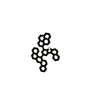 c1ccc2c(c1)ccc1c(-c3cc(-c4ccc5ccc6cccc7ccc4c5c67)c4oc5ccc6ccccc6c5c4c3)c3c(ccc4ccccc43)cc12